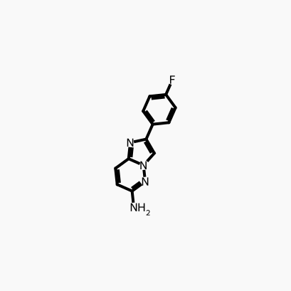 Nc1ccc2nc(-c3ccc(F)cc3)cn2n1